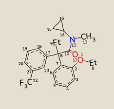 CCOc1ccccc1C(CC)(C(=O)N(C)C1CC1)c1cccc(C(F)(F)F)c1